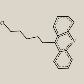 ClCCCCCc1c2ccccc2nc2ccccc12